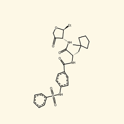 CC[C@@H]1OCC(=O)[C@H]1NC(=O)[C@H](CC1(C)CCCC1)NC(=O)c1ccc(NS(=O)(=O)c2ccccc2)cc1